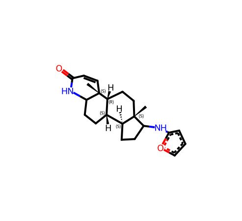 C[C@]12C=CC(=O)NC1CC[C@@H]1[C@H]2CC[C@]2(C)C(Nc3ccco3)CC[C@@H]12